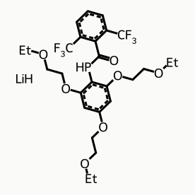 CCOCCOc1cc(OCCOCC)c(PC(=O)c2c(C(F)(F)F)cccc2C(F)(F)F)c(OCCOCC)c1.[LiH]